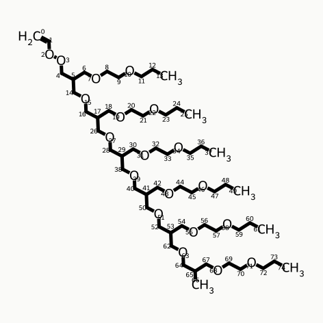 C=COOCC(COCCOCCC)COCC(COCCOCCC)COCC(COCCOCCC)COCC(COCCOCCC)COCC(COCCOCCC)COCC(C)COCCOCCC